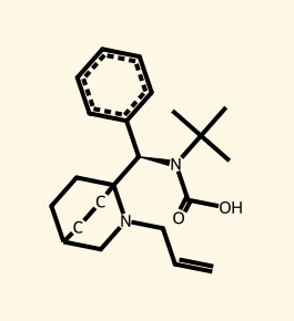 C=CCN1CC2CCC1([C@@H](c1ccccc1)N(C(=O)O)C(C)(C)C)CC2